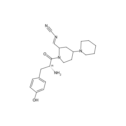 N#CN=CC1CC(N2CCCCC2)CCN1C(=O)[C@H](N)Cc1ccc(O)cc1